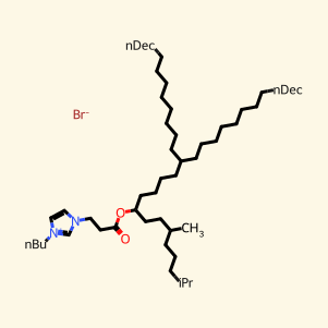 CCCCCCCCCCCCCCCCCCC(CCCCCCCCCCCCCCCCCC)CCCCC(CCC(C)CCCC(C)C)OC(=O)CCn1cc[n+](CCCC)c1.[Br-]